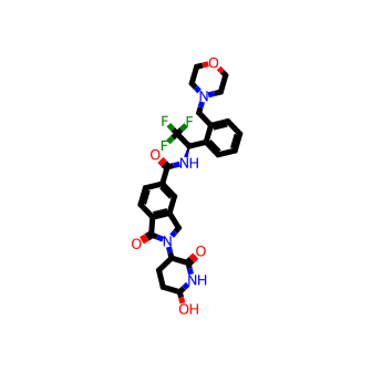 O=C(N[C@H](c1ccccc1CN1CCOCC1)C(F)(F)F)c1ccc2c(c1)CN(C1CCC(O)NC1=O)C2=O